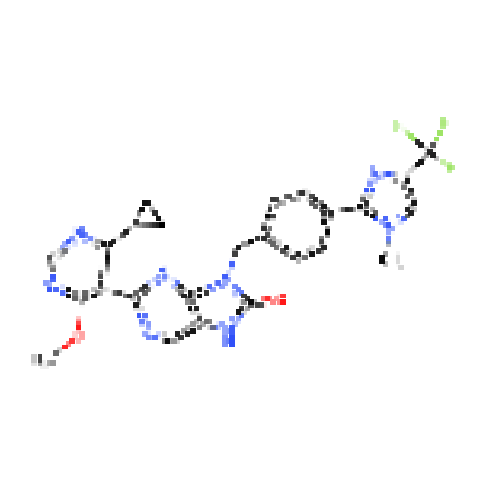 COc1ncnc(C2CC2)c1-c1ncc2[nH]c(=O)n(Cc3ccc(-c4nc(C(F)(F)F)cn4C)cc3)c2n1